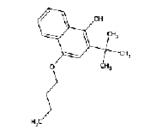 CCCCOc1cc(C(C)(C)C)c(O)c2ccccc12